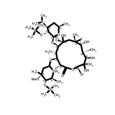 CC[C@H]1OC(=O)[C@H](C)[C@@H](OC2C[C@@](C)(OC)[C@@H](O[Si](C)(C)C)[C@H](C)O2)[C@H](C)[C@@H](O[C@@H]2O[C@H](C)C[C@H](N(C)C)[C@H]2O[Si](C)(C)C)[C@](C)(O)C[C@](C)(F)[C@H](O)[C@H](C)[C@@H](O)[C@]1(C)O